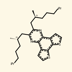 CC(C)CCC[C@H](C)Cc1nc2c3ccsc3c3sccc3c2nc1C[C@@H](C)CCCC(C)C